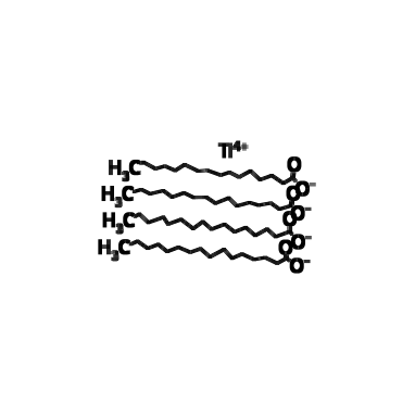 CCCCCCCCCCCCCCCC(=O)[O-].CCCCCCCCCCCCCCCC(=O)[O-].CCCCCCCCCCCCCCCC(=O)[O-].CCCCCCCCCCCCCCCC(=O)[O-].[Ti+4]